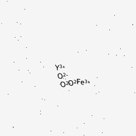 [Fe+3].[O-2].[O-2].[O-2].[Y+3]